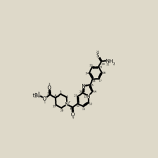 CC(C)(C)OC(=O)C1CCN(C(=O)c2ccn3cc(-c4ccc(C(N)=S)cc4)nc3c2)CC1